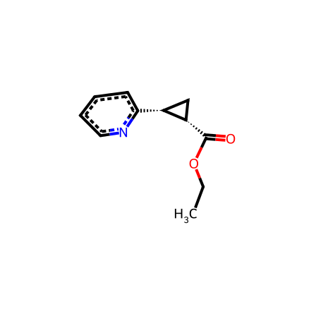 CCOC(=O)[C@H]1C[C@H]1c1ccccn1